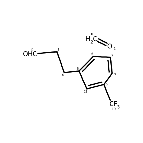 C=O.O=CCCc1cccc(C(F)(F)F)c1